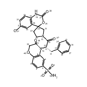 NS(=O)(=O)c1ccc2c(c1)N([C@@H](Cc1ccccc1)C(=O)N1CCC3(C1)OC(=O)Nc1ccc(Cl)cc13)C(=O)CO2